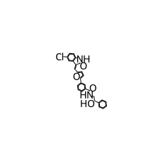 O=C1Nc2ccc(Cl)cc2C1=Cc1ccc(-c2cccc(C(=O)NCC(O)c3ccccc3)c2)o1